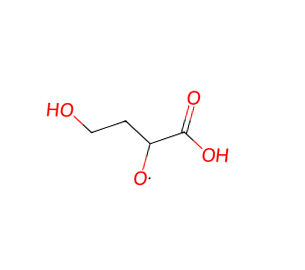 [O]C(CCO)C(=O)O